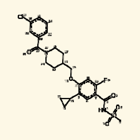 CS(=O)(=O)NC(=O)c1cc(C2CC2)c(OCC2CCN(C(=O)c3cccc(Cl)c3)CC2)cc1F